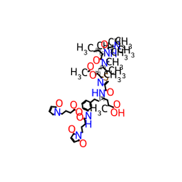 CC[C@H](C)[C@H](NC(=O)C(C)(C)N(C)C)C(=O)N(C)[C@H](C[C@@H](OC(C)=O)c1nc(C(=O)N[C@@H](CCc2ccc(OC(=O)CCCN3CC=CC3=O)c(NC(=O)CCCN3C(=O)C=CC3=O)c2)CC(C)C(=O)O)cs1)C(C)C